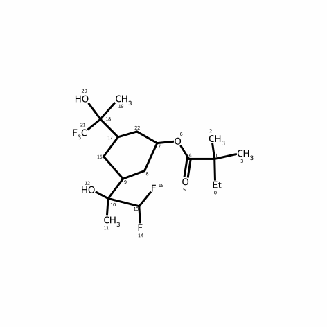 CCC(C)(C)C(=O)OC1CC(C(C)(O)C(F)F)CC(C(C)(O)C(F)(F)F)C1